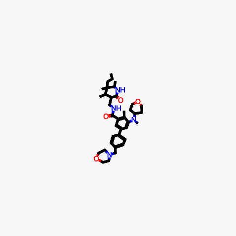 CCCC1(C)C(C)NC(=O)C(CNC(=O)c2cc(-c3ccc(CN4CCOCC4)cc3)cc(N(C)C3CCOCC3)c2C)C1C